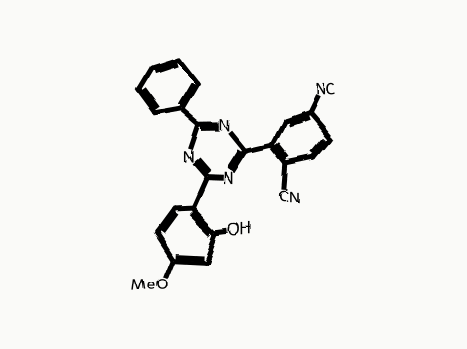 [C-]#[N+]c1ccc(C#N)c(-c2nc(-c3ccccc3)nc(-c3ccc(OC)cc3O)n2)c1